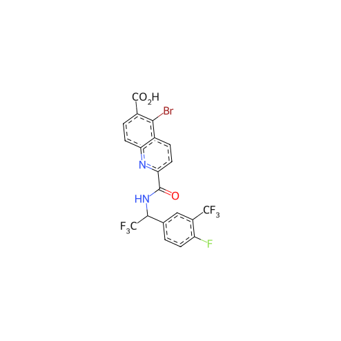 O=C(NC(c1ccc(F)c(C(F)(F)F)c1)C(F)(F)F)c1ccc2c(Br)c(C(=O)O)ccc2n1